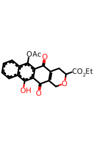 CCOC(=O)C1CC2=C(CO1)C(=O)c1c(c(OC(C)=O)c3ccccc3c1O)C2=O